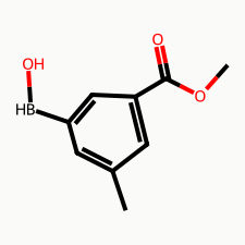 COC(=O)c1cc(C)cc(BO)c1